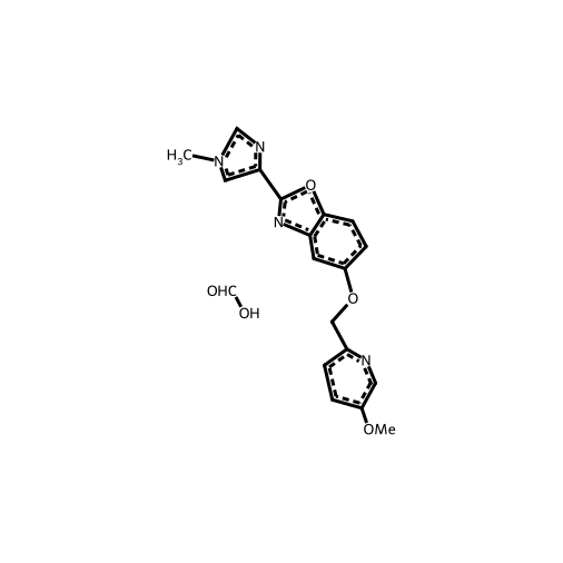 COc1ccc(COc2ccc3oc(-c4cn(C)cn4)nc3c2)nc1.O=CO